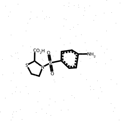 Nc1ccc(S(=O)(=O)N2CCSC2C(=O)O)cc1